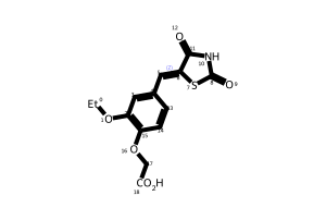 CCOc1cc(/C=C2\SC(=O)NC2=O)ccc1OCC(=O)O